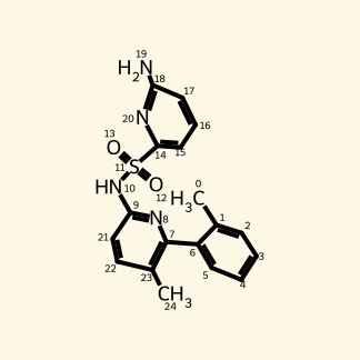 Cc1ccccc1-c1nc(NS(=O)(=O)c2cccc(N)n2)ccc1C